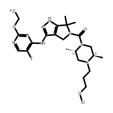 CCOCCCN1C[C@H](C)N(C(=O)N2Cc3c(Nc4nc(OCC(F)(F)F)ncc4F)n[nH]c3C2(C)C)C[C@H]1C